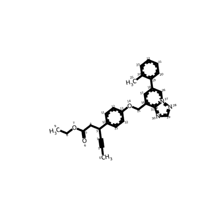 CC#CC(CC(=O)OCC)c1ccc(OCc2cc(-c3ccccc3C)cn3ncnc23)cc1